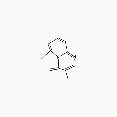 Cc1cnc2cccc(C)n2c1=O